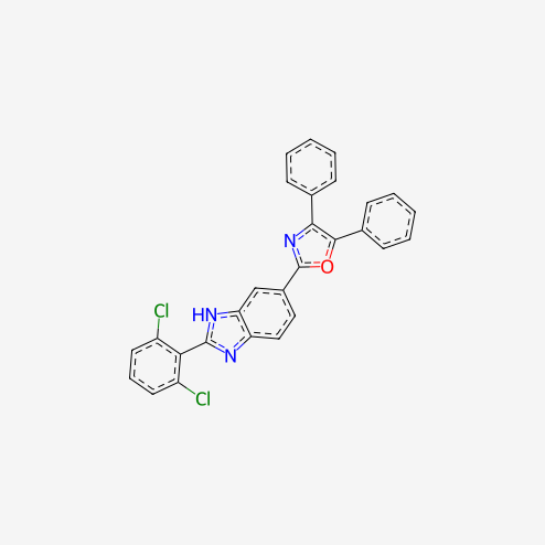 Clc1cccc(Cl)c1-c1nc2ccc(-c3nc(-c4ccccc4)c(-c4ccccc4)o3)cc2[nH]1